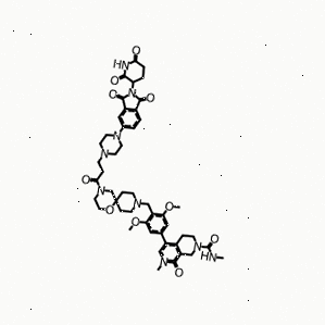 CNC(=O)N1CCc2c(-c3cc(OC)c(CN4CCC5(CC4)CN(C(=O)CCN4CCN(c6ccc7c(c6)C(=O)N(C6CCC(=O)NC6=O)C7=O)CC4)CCO5)c(OC)c3)cn(C)c(=O)c2C1